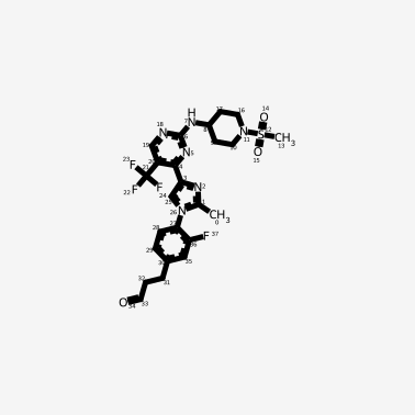 Cc1nc(-c2nc(NC3CCN(S(C)(=O)=O)CC3)ncc2C(F)(F)F)cn1-c1ccc(CCC=O)cc1F